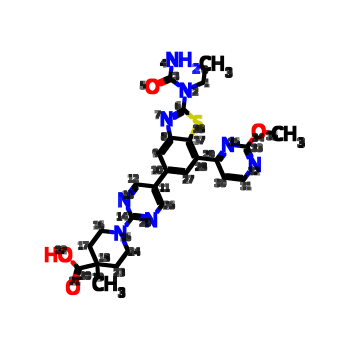 CCN(C(N)=O)c1nc2cc(-c3cnc(N4CCC(C)(C(=O)O)CC4)nc3)cc(-c3ccnc(OC)n3)c2s1